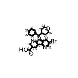 O=C(O)c1cnc2c(c1)c1ncc(Br)cc1n2C(c1ccccc1)C1CCOCC1